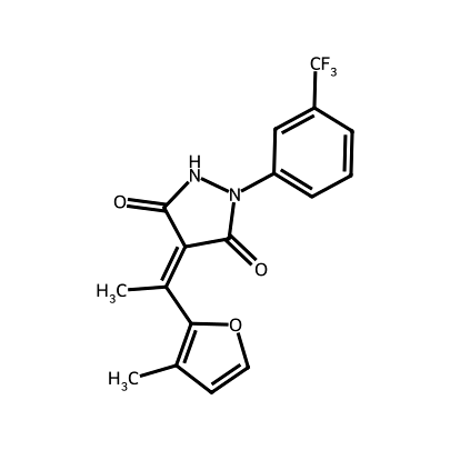 CC(=C1C(=O)NN(c2cccc(C(F)(F)F)c2)C1=O)c1occc1C